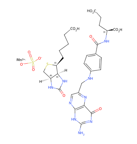 Nc1nc(=O)c2nc(CNc3ccc(C(=O)N[C@@H](CCC(=O)O)C(=O)O)cc3)cnc2[nH]1.O=C(O)CCCC[C@@H]1SC[C@@H]2NC(=O)N[C@@H]21.O=S(=O)([O-])[O-].[Mn+2]